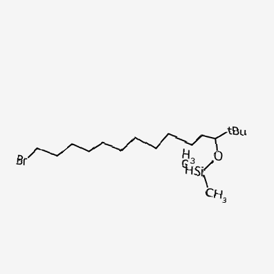 C[SiH](C)OC(CCCCCCCCCCCBr)C(C)(C)C